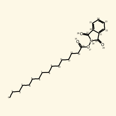 CCCCCCCCCCCCCCCC(=O)ON1C(=O)c2ccccc2C1=O